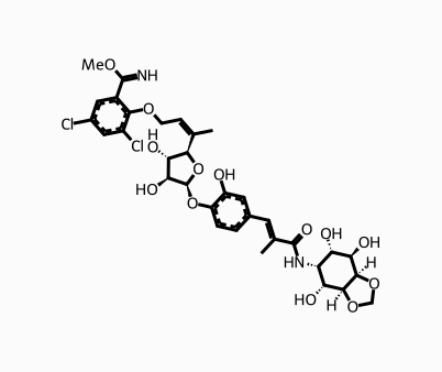 COC(=N)c1cc(Cl)cc(Cl)c1OC/C=C(/C)[C@H]1O[C@@H](Oc2ccc(/C=C(\C)C(=O)N[C@@H]3[C@H](O)[C@@H](O)[C@H]4OCO[C@H]4[C@@H]3O)cc2O)[C@@H](O)[C@@H]1O